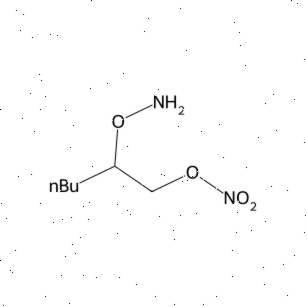 CCCCC(CO[N+](=O)[O-])ON